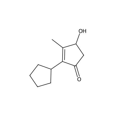 CC1=C(C2CCCC2)C(=O)CC1O